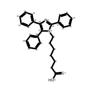 OC(=S)CCCCCCn1c(-c2ccccc2)nc(-c2ccccc2)c1-c1ccccc1